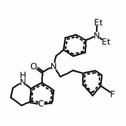 CCN(CC)c1ccc(CN(CCc2ccc(F)cc2)C(=O)c2cccc3c2NCCC3)cc1